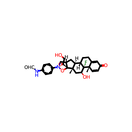 C[C@]12C=CC(=O)C=C1CC[C@H]1[C@@H]3C[C@H]4CN(c5ccc(NC=O)cc5)O[C@@]4(C(=O)CO)[C@@]3(C)C[C@H](O)[C@@]12F